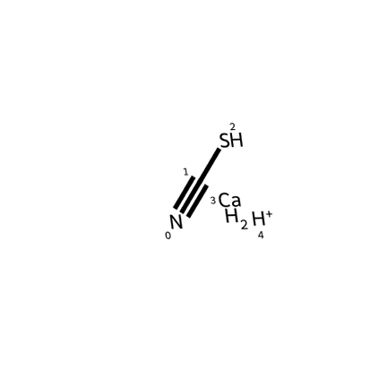 N#CS.[CaH2].[H+]